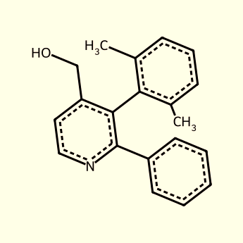 Cc1cccc(C)c1-c1c(CO)ccnc1-c1ccccc1